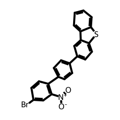 O=[N+]([O-])c1cc(Br)ccc1-c1ccc(-c2ccc3sc4ccccc4c3c2)cc1